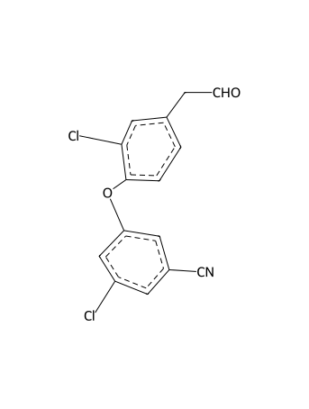 N#Cc1cc(Cl)cc(Oc2ccc(CC=O)cc2Cl)c1